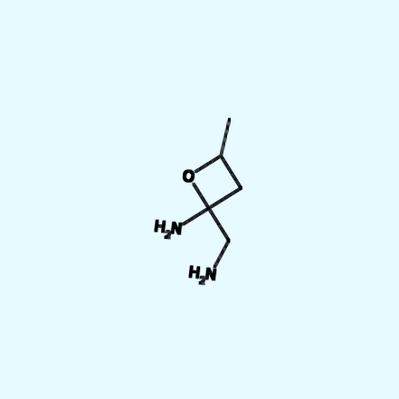 CC1CC(N)(CN)O1